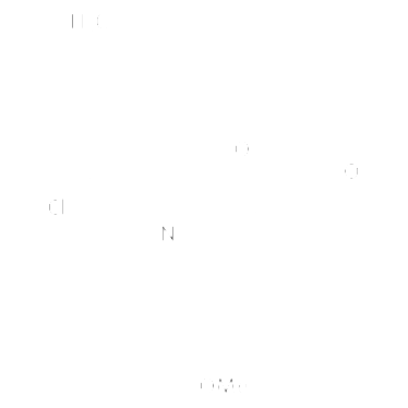 CO[C]1CCN(c2ccc(C)cc2Cl)C(C2COCCO2)C1